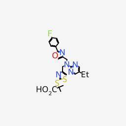 CCc1cnc(N(Cc2coc(-c3ccc(F)cc3)n2)Cc2csc(SC(C)(C)C(=O)O)n2)nc1